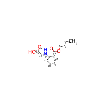 CCCCOC(=O)c1ccccc1NCC(=O)O